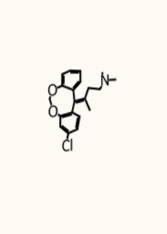 CC(CCN(C)C)=C1c2ccccc2OCOc2cc(Cl)ccc21